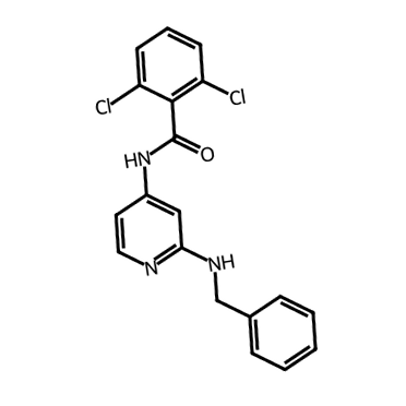 O=C(Nc1ccnc(NCc2ccccc2)c1)c1c(Cl)cccc1Cl